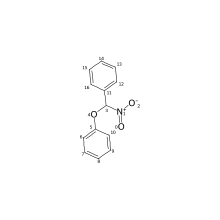 O=[N+]([O-])C(Oc1ccccc1)c1ccccc1